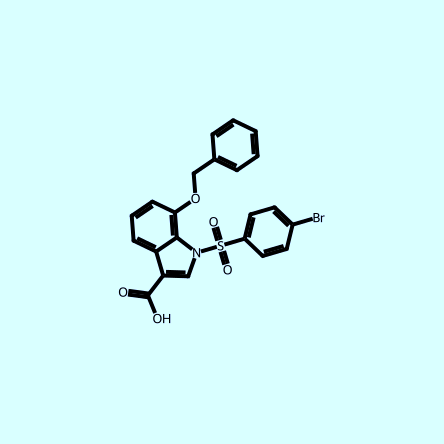 O=C(O)c1cn(S(=O)(=O)c2ccc(Br)cc2)c2c(OCc3ccccc3)cccc12